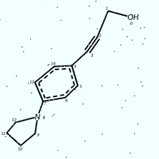 OCC#Cc1ccc(N2CCCC2)cc1